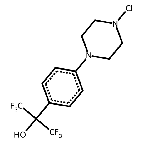 OC(c1ccc(N2CCN(Cl)CC2)cc1)(C(F)(F)F)C(F)(F)F